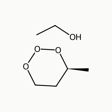 CCO.C[C@H]1CCOOO1